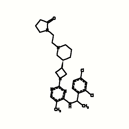 Cc1cnc(N2CC([C@H]3CCCN(CCN4CCCC4=O)C3)C2)nc1NC(C)c1ccc(Cl)cc1Cl